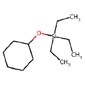 CC[Si](CC)(CC)OC1CCCCC1